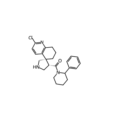 O=C([C@@H]1CNC[C@]12CCCc1nc(Cl)ccc12)N1CCCCC1c1ccccc1